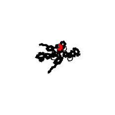 CCCCc1ccc(N2B3c4oc5cc6c(cc5c4N(c4ccc(CCCC)cc4-c4ccccc4)c4cc5c(oc7ccccc75)c(c43)-c3cc4c(cc32)oc2cc3c(cc24)C(C)(C)CCC3(C)C)C(C)(C)CCC6(C)C)cc1